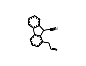 C=CCc1cccc2c1C(C#N)c1ccccc1-2